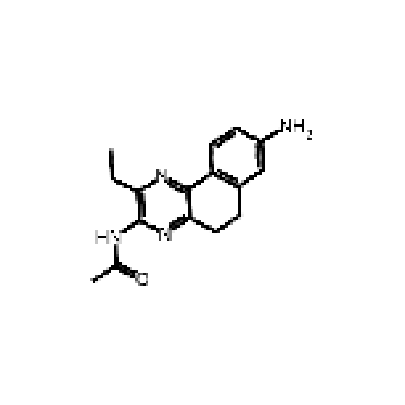 CCc1nc2c(nc1NC(C)=O)CCc1cc(N)ccc1-2